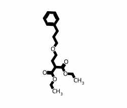 CCOC(=O)C(CCOCCCc1ccccc1)C(=O)OCC